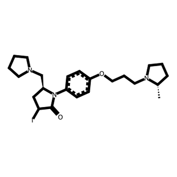 C[C@H]1CCCN1CCCOc1ccc(N2C(=O)C(I)C[C@H]2CN2CCCC2)cc1